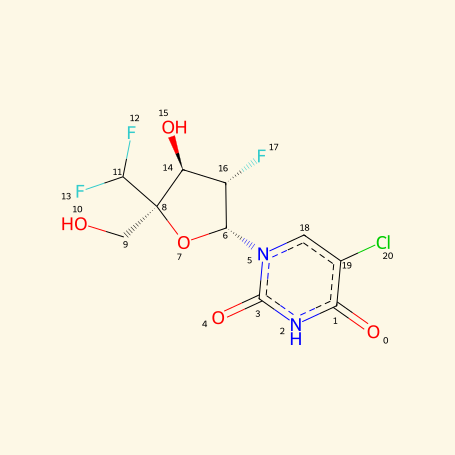 O=c1[nH]c(=O)n([C@@H]2O[C@@](CO)(C(F)F)[C@@H](O)[C@@H]2F)cc1Cl